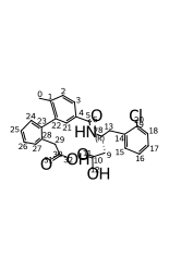 Cc1ccc(C(=O)N[C@@H](CC(=O)O)Cc2ccccc2Cl)cc1-c1ccccc1CC(=O)O